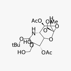 COC(=O)[C@@]12OC([C@H](OC(C)=O)[C@H](O)CO)[C@H](NC(=O)OC(C)(C)C)[C@@H](OC(C)=O)[C@@H]1O2